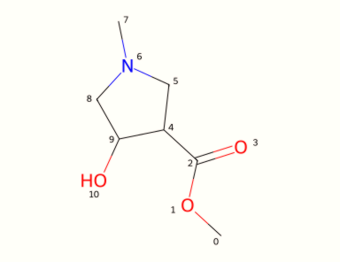 COC(=O)C1CN(C)CC1O